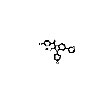 O=C(c1ccc(Cl)cc1)c1c(C(=O)O)n(-c2ccc(Cl)cc2)c2cc(-c3cccnc3)ccc12